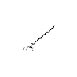 CCCCCCCCCCCC[N]C(N)=O